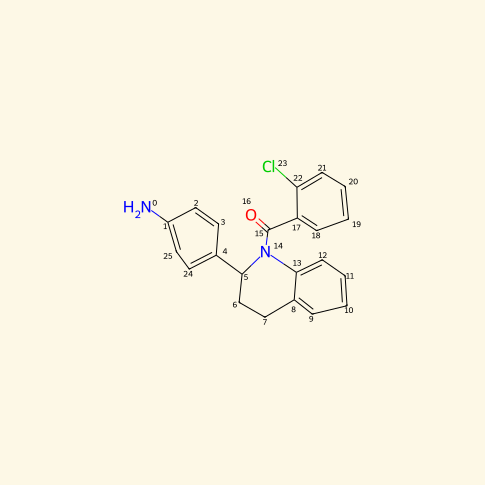 Nc1ccc(C2CCc3ccccc3N2C(=O)c2ccccc2Cl)cc1